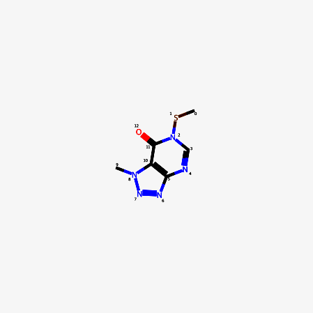 CSn1cnc2nnn(C)c2c1=O